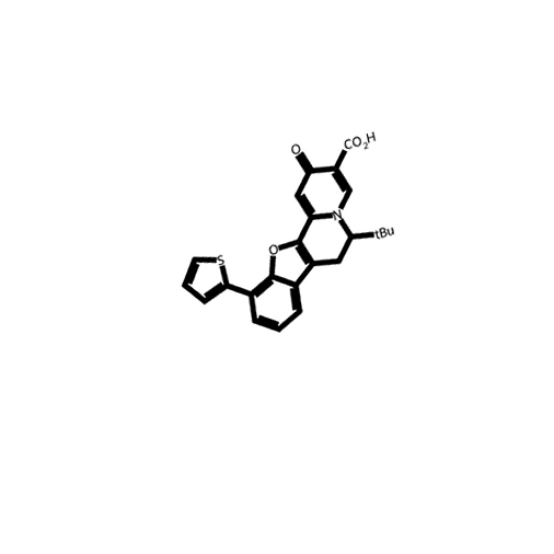 CC(C)(C)C1Cc2c(oc3c(-c4cccs4)cccc23)-c2cc(=O)c(C(=O)O)cn21